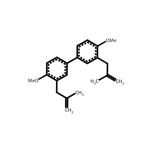 C=C(C)Cc1cc(-c2ccc(OC)c(CC(=C)C)c2)ccc1OC